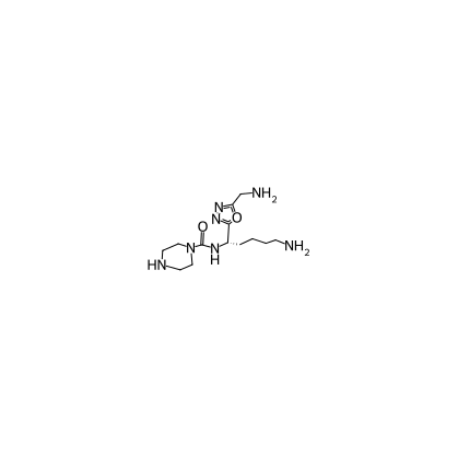 NCCCC[C@H](NC(=O)N1CCNCC1)c1nnc(CN)o1